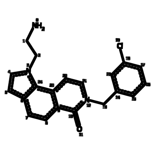 NCCn1ccc2ccc3c(=O)n(Cc4cccc(Cl)c4)ccc3c21